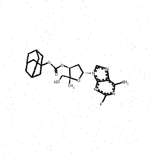 C[C@]1(CO)O[C@@H](n2cnc3c(N)nc(F)nc32)C[C@@H]1OC(=O)OC12CC3CC(CC(C3)C1)C2